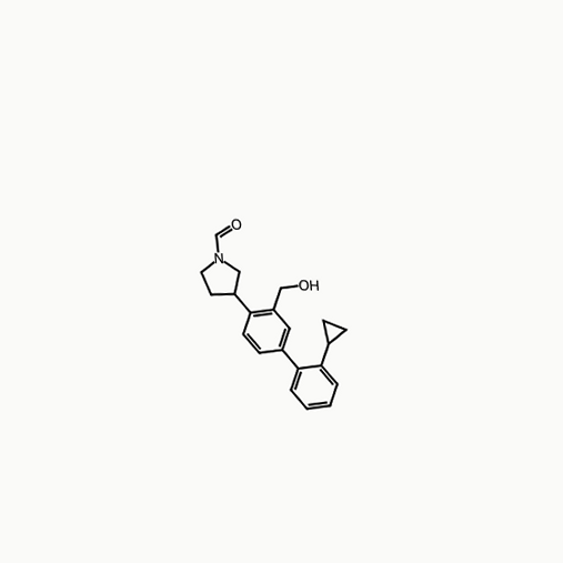 O=CN1CCC(c2ccc(-c3ccccc3C3CC3)cc2CO)C1